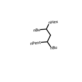 CCCCCCC(CCCC)CC(CCCC)CCCCC